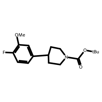 COc1cc(C2CCN(C(=O)OC(C)(C)C)CC2)ccc1F